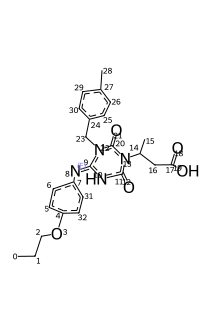 CCCOc1ccc(/N=c2\[nH]c(=O)n(C(C)CC(=O)O)c(=O)n2Cc2ccc(C)cc2)cc1